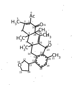 CC(=O)C1=C(C)CC2(C)CC3(C)Cc4c(C5CCOC5)ccc(C)c4C(=O)C3=C(C)C2(C)C1=O